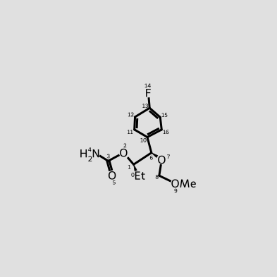 CC[C@@H](OC(N)=O)[C@H](OCOC)c1ccc(F)cc1